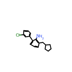 Nc1c(CC2CCCC2)cccc1-c1cccc(Cl)c1